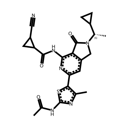 CC(=O)Nc1nc(C)c(-c2cc3c(c(NC(=O)C4CC4C#N)n2)C(=O)N([C@@H](C)C2CC2)C3)s1